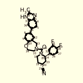 Cc1nc2ccc(-c3ccc4c(c3)CN(C(=O)N3CC[C@@H](C#N)C[C@@H]3c3ccc(F)c(F)c3)CCO4)cc2[nH]1